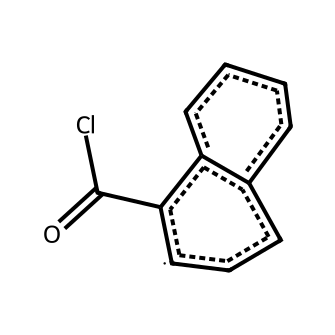 O=C(Cl)c1[c]ccc2ccccc12